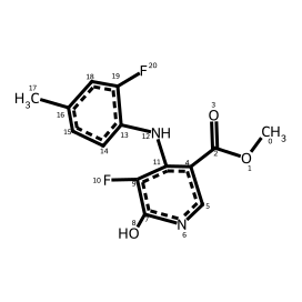 COC(=O)c1cnc(O)c(F)c1Nc1ccc(C)cc1F